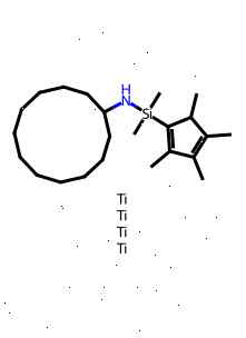 CC1=C(C)C(C)C([Si](C)(C)NC2CCCCCCCCCCC2)=C1C.[Ti].[Ti].[Ti].[Ti]